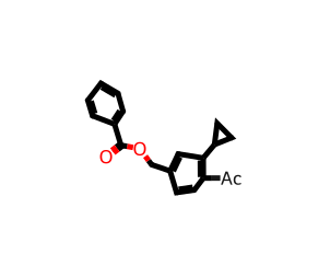 CC(=O)c1ccc(COC(=O)c2ccccc2)cc1C1CC1